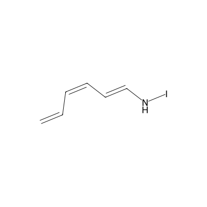 C=C/C=C\C=C\NI